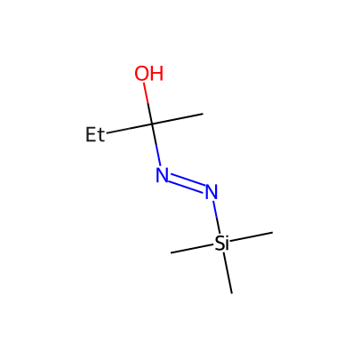 CCC(C)(O)N=N[Si](C)(C)C